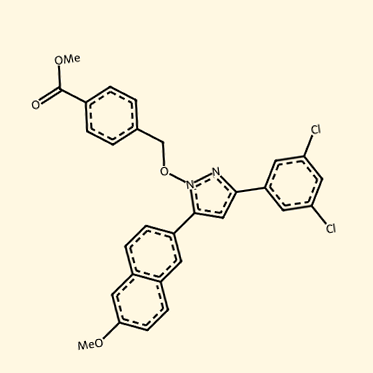 COC(=O)c1ccc(COn2nc(-c3cc(Cl)cc(Cl)c3)cc2-c2ccc3cc(OC)ccc3c2)cc1